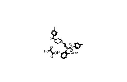 COc1ccccc1N(CCN1CCC(C(=O)c2ccc(F)cc2)CC1)S(=O)(=O)c1ccc(C)cc1.O=C(O)C(=O)O